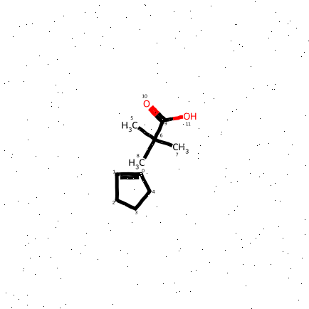 C1=CCCC1.CC(C)(C)C(=O)O